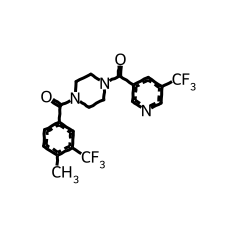 Cc1ccc(C(=O)N2CCN(C(=O)c3cncc(C(F)(F)F)c3)CC2)cc1C(F)(F)F